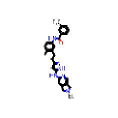 CCN1Cc2cnc(Nc3cc(CCc4cc(NC(=O)c5cccc(C(F)(F)F)c5)ccc4C)n[nH]3)cc2C1